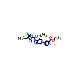 CCc1[nH]c(C(=O)N[C@@H]2CCN(c3ccnc(C(=O)OC)c3)C[C@@H]2OC)nc1Cl